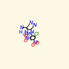 N#CC(C#N)=C(N)/C(C#N)=N\Nc1c(Cl)cc([N+](=O)[O-])cc1[N+](=O)[O-]